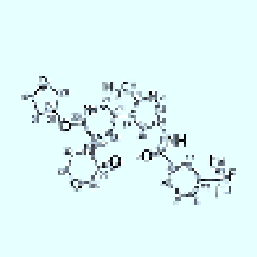 Cc1ncc(NC(=O)c2cccc(C(F)(F)F)c2)cc1-c1cnc(O[C@H]2CCOC2)c(N2CCOCC2=O)c1